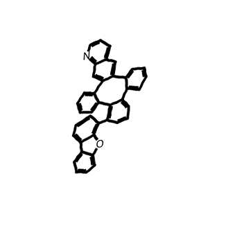 c1ccc2c(c1)-c1cc3cccnc3cc1-c1ccccc1-c1c-2cccc1-c1cccc2c1oc1ccccc12